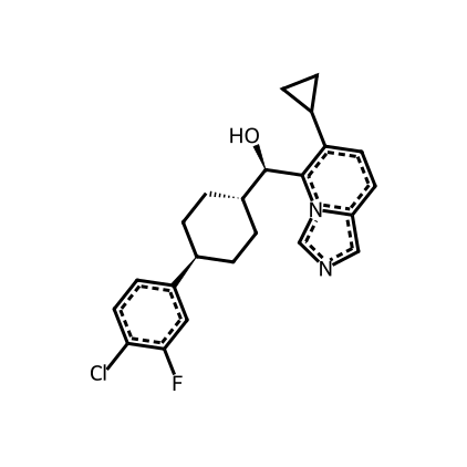 O[C@@H](c1c(C2CC2)ccc2cncn12)[C@H]1CC[C@H](c2ccc(Cl)c(F)c2)CC1